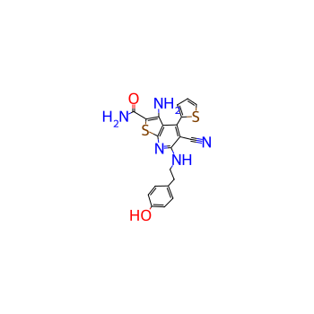 N#Cc1c(NCCc2ccc(O)cc2)nc2sc(C(N)=O)c(N)c2c1-c1cccs1